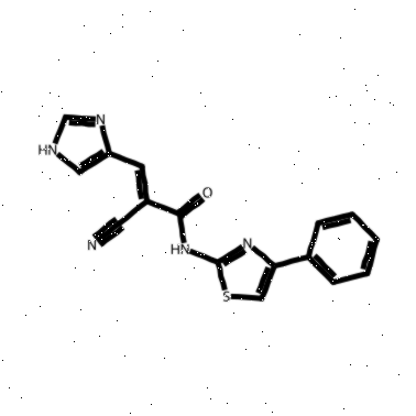 N#CC(=Cc1c[nH]cn1)C(=O)Nc1nc(-c2ccccc2)cs1